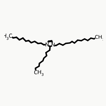 CCCCCCCCCCCCCCN1C=CN(CCCCCCCCCCCC)C1CCCCCCCCC